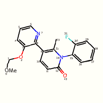 COCOc1cccnc1-c1ccc(=O)n(-c2ccccc2F)c1C